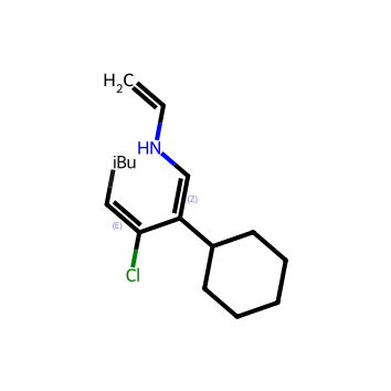 C=CN/C=C(\C(Cl)=C/C(C)CC)C1CCCCC1